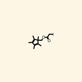 CC1=C(C)C(C)(COC(=O)CI)C(C)=C1C